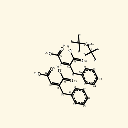 C[C](C)(C)[Sn+4][C](C)(C)C.O=C([O-])/C=C(/Cc1ccccc1)C(=O)[O-].O=C([O-])/C=C(/Cc1ccccc1)C(=O)[O-]